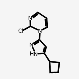 ClC1N=CC=CN1c1cc(C2CCC2)[nH]n1